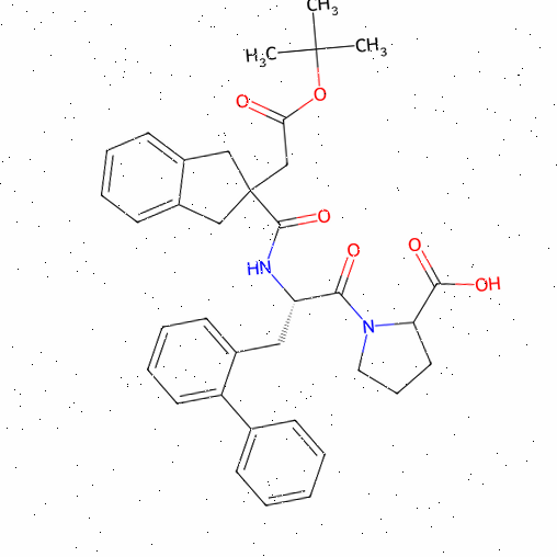 CC(C)(C)OC(=O)CC1(C(=O)N[C@@H](Cc2ccccc2-c2ccccc2)C(=O)N2CCCC2C(=O)O)Cc2ccccc2C1